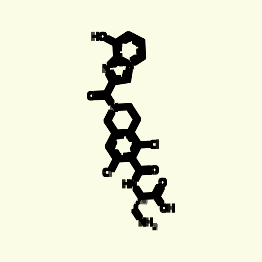 NC[C@H](NC(=O)c1c(Cl)cc2c(c1Cl)CCN(C(=O)c1cn3cccc(O)c3n1)C2)C(=O)O